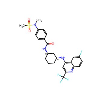 CN(c1ccc(C(=O)N[C@@H]2CCC[C@H](Nc3cc(C(F)(F)F)nc4ccc(F)cc34)C2)cc1)S(C)(=O)=O